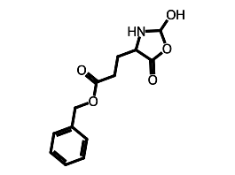 O=C(CCC1NC(O)OC1=O)OCc1ccccc1